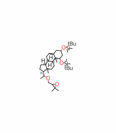 CC(OCC1OC1(C)C)[C@H]1CC[C@H]2[C@@H]3CC=C4CC(O[Si](C)(C)C(C)(C)C)CC(O[Si](C)(C)C(C)(C)C)[C@]4(C)[C@H]3CC[C@]12C